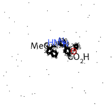 COc1ccc2ccccc2c1CCNc1cc(-c2ccc(C(=O)O)c(OC3CCC3)c2)ncn1